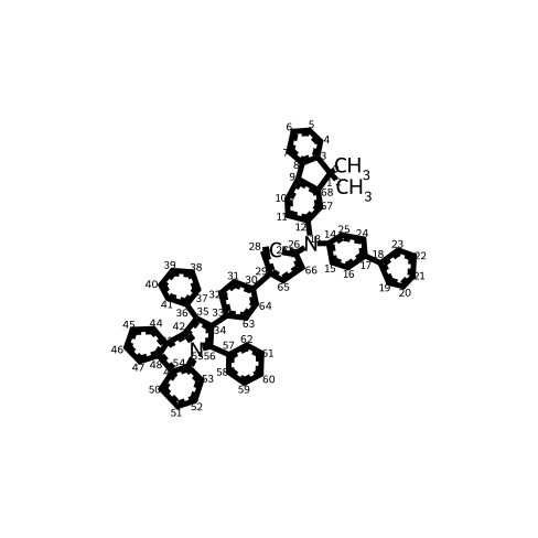 CC1(C)c2ccccc2-c2ccc(N(c3ccc(-c4ccccc4)cc3)c3ccc(-c4ccc(-c5c(-c6ccccc6)c6c7ccccc7c7ccccc7n6c5-c5ccccc5)cc4)cc3)cc21